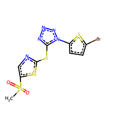 CS(=O)(=O)c1cnc(Sc2nnnn2-c2ccc(Br)s2)s1